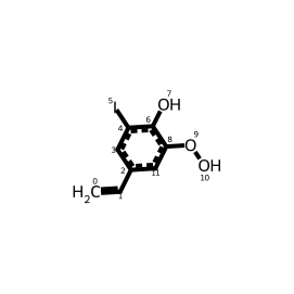 C=Cc1cc(I)c(O)c(OO)c1